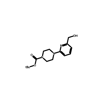 CC(C)(C)OC(=O)N1CCN(c2cccc(CO)n2)CC1